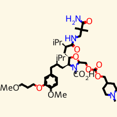 COCCCOc1cc(C[C@H](C[C@H]2[C@H](C[C@H](C(=O)NCC(C)(C)C(N)=O)C(C)C)OC(COC(=O)OCC3CCN(C)CC3)N2C(=O)O)C(C)C)ccc1OC